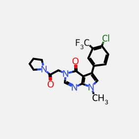 Cn1cc(-c2ccc(Cl)c(C(F)(F)F)c2)c2c(=O)n(CC(=O)N3CCCC3)cnc21